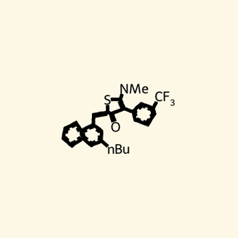 CCCCc1cc(C=C2SC(NC)=C(c3cccc(C(F)(F)F)c3)C2=O)c2ccccc2c1